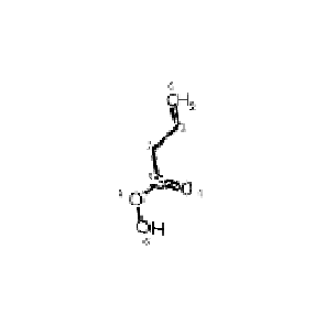 C=CCS(=O)OO